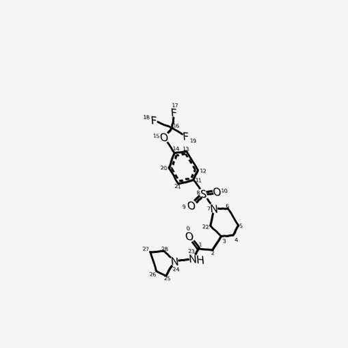 O=C(CC1CCCN(S(=O)(=O)c2ccc(OC(F)(F)F)cc2)C1)NN1CCCC1